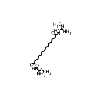 CN=C(N)NOC(=O)CCCCCCCCCCCCC(=O)ONC(N)=NC